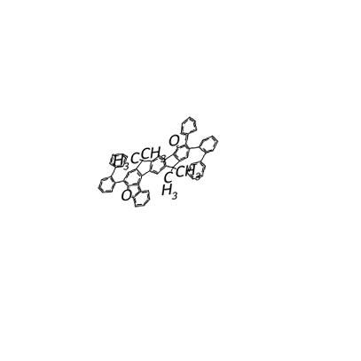 CC1(C)c2cc3c(cc2-c2c1cc(-c1ccccc1-c1ccccc1)c1c2oc2ccccc21)C(C)(C)c1cc(-c2ccccc2-c2ccccc2)c2oc4ccccc4c2c1-3